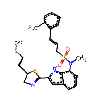 CC(=O)OSCCC1CN=C(c2cc3cccc(N(C)S(=O)(=O)CC=Cc4ccccc4C(F)(F)F)c3[nH]2)S1